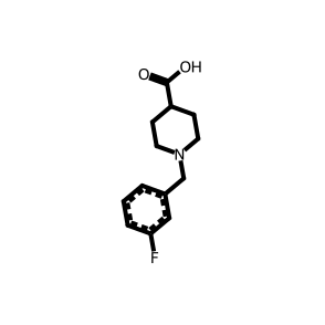 O=C(O)C1CCN(Cc2cccc(F)c2)CC1